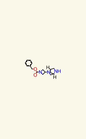 O=C(OCc1ccccc1)N1CC(N2C[C@@H]3C[C@H]2CN3)C1